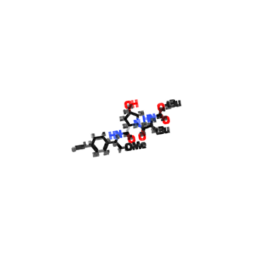 C#Cc1ccc([C@H](COC)NC(=O)[C@@H]2C[C@@H](O)CN2C(=O)[C@@H](NC(=O)OC(C)(C)C)C(C)(C)C)cc1